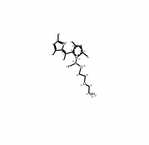 CC1=CC(C)=N/C1=C(/C)c1c(C)cc(C)n1B(F)OCCOCCN